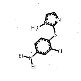 CCN(CC)c1ccc(Sc2nccn2C)c(Cl)c1